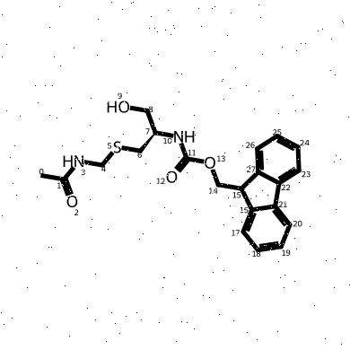 CC(=O)NCSC[C@@H](CO)NC(=O)OCC1c2ccccc2-c2ccccc21